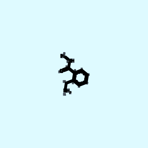 CCNC(=O)c1cc[c]cc1CN